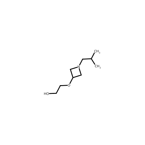 CC(C)CN1CC(OCCO)C1